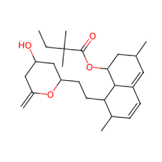 C=C1CC(O)CC(CCC2C(C)C=CC3=CC(C)CC(OC(=O)C(C)(C)CC)C32)O1